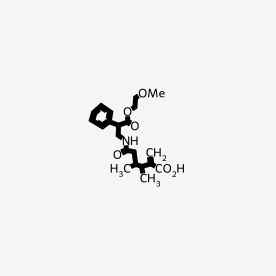 C=C(C(=O)O)C(C)C(C)CC(=O)NCC(C(=O)OCCOC)c1ccccc1